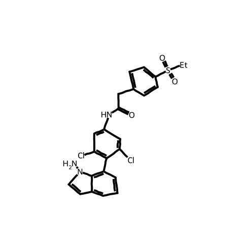 CCS(=O)(=O)c1ccc(CC(=O)Nc2cc(Cl)c(-c3cccc4ccn(N)c34)c(Cl)c2)cc1